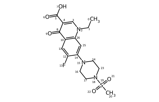 CCn1cc(C(=O)O)c(=O)c2cc(F)c(N3CCN(S(C)(=O)=O)CC3)cc21